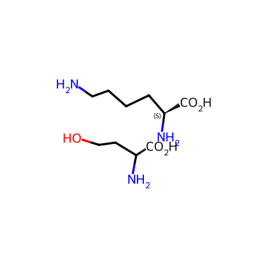 NC(CCO)C(=O)O.NCCCC[C@H](N)C(=O)O